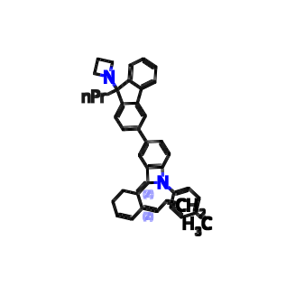 C=C/C=C1/C=CCC/C1=C1\c2cc(-c3ccc4c(c3)-c3ccccc3C4(CCC)N3CCC3)ccc2N1c1ccc(C)cc1